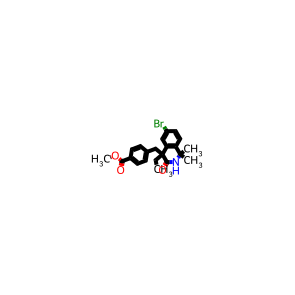 CCC1(Cc2ccc(C(=O)OC)cc2)C(=O)NC(C)(C)c2ccc(Br)cc21